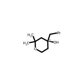 CC(C)C[C@]1(O)CCOC(C)(C)C1